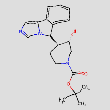 CC(C)(C)OC(=O)N1CC[C@@H](C2c3ccccc3-c3cncn32)[C@H](O)C1